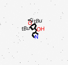 CC(C)(C)c1cc(C(O)c2cccnc2)cc(C(C)(C)C)c1O[Si](C)(C)C